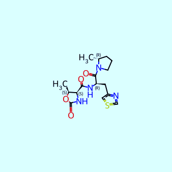 C[C@@H]1OC(=O)N[C@@H]1C(=O)N[C@H](Cc1cscn1)C(=O)N1CCC[C@H]1C